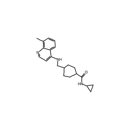 Cc1cccc2c(NCC3CCC(C(=O)NC4CC4)CC3)ccnc12